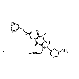 CC#CCn1c(N2CCCC(N)C2)nc2c1c(=O)n(CC(=O)OCc1cncnc1)c(=O)n2C